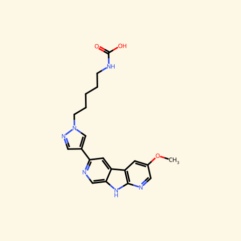 COc1cnc2[nH]c3cnc(-c4cnn(CCCCCNC(=O)O)c4)cc3c2c1